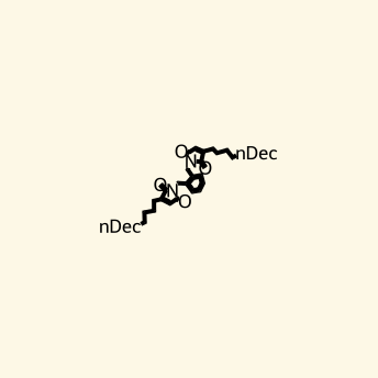 CCCCCCCCCCCCCCC1=CC(=O)N(Cc2ccccc2CN2C(=O)C=C(CCCCCCCCCCCCCC)C2=O)C1=O